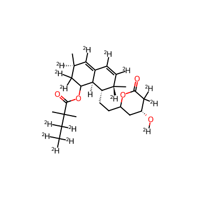 [2H]O[C@@H]1CC(CC[C@@H]2[C@@H]3C(=C([2H])[C@]([2H])(C)C([2H])([2H])C3OC(=O)C(C)(C)C([2H])([2H])C([2H])([2H])[2H])C([2H])=C([2H])[C@]2([2H])C)OC(=O)C1([2H])[2H]